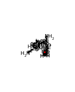 CCCCCCCCCCN(C)CCS(=O)(=O)N[C@@H](CCCCN)C(=O)N[C@H](C(=O)N[C@@H](C)C(=O)N[C@@H](CCCCN)C(=O)N[C@@H](C)B1O[C@@H]2C[C@@H]3C[C@@H](C3(C)C)[C@]2(C)O1)[C@@H](C)O